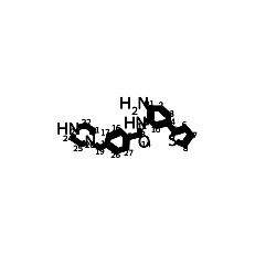 Nc1ccc(-c2cccs2)cc1NC(=O)c1ccc(CN2CCNCC2)cc1